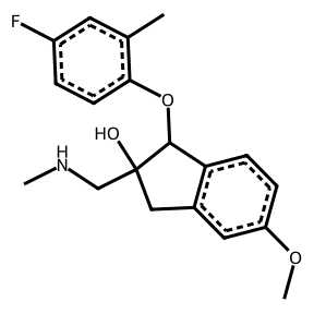 CNCC1(O)Cc2cc(OC)ccc2C1Oc1ccc(F)cc1C